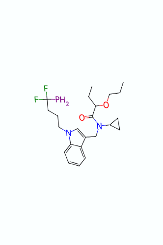 CCCOC(CC)C(=O)N(Cc1cn(CCCC(F)(F)P)c2ccccc12)C1CC1